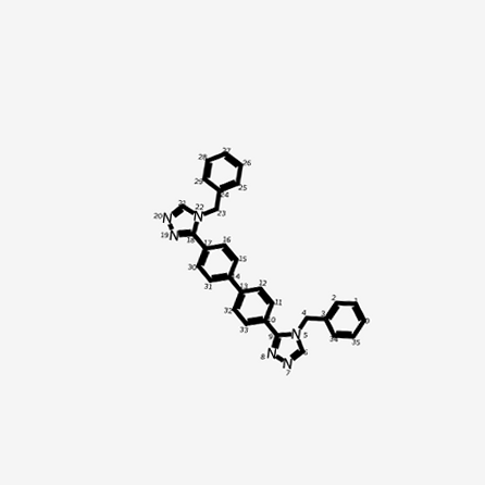 c1ccc(Cn2cnnc2-c2ccc(-c3ccc(-c4nncn4Cc4ccccc4)cc3)cc2)cc1